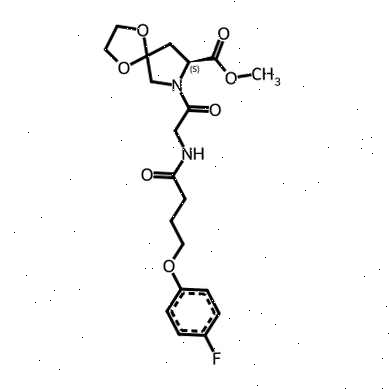 COC(=O)[C@@H]1CC2(CN1C(=O)CNC(=O)CCCOc1ccc(F)cc1)OCCO2